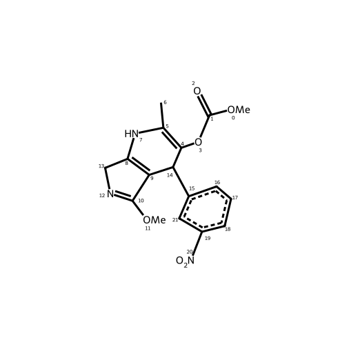 COC(=O)OC1=C(C)NC2=C(C(OC)=NC2)C1c1cccc([N+](=O)[O-])c1